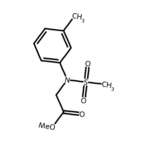 COC(=O)CN(c1cccc(C)c1)S(C)(=O)=O